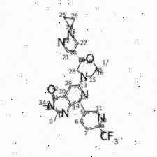 Cc1nc2c(-c3ccc(C(F)(F)F)nc3)nc(N3C[C@@H](C)O[C@@H](c4cnn(C5CC5)c4)C3)cc2c(=O)n1C